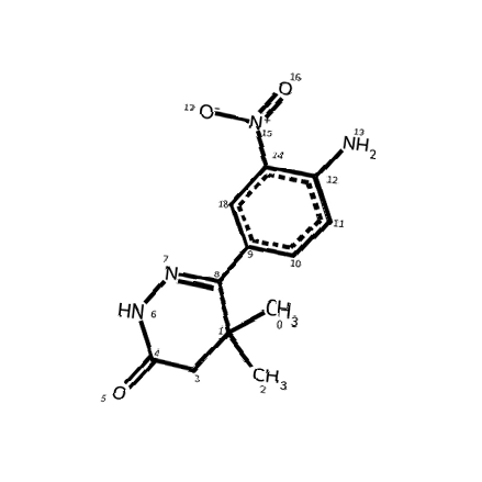 CC1(C)CC(=O)NN=C1c1ccc(N)c([N+](=O)[O-])c1